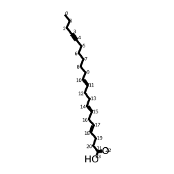 CCCC#CCCCCCC=CCCC=CCC=CCCC(=O)O